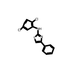 Clc1ccc(Cl)c(Nc2nc(-c3ccccc3)cs2)c1